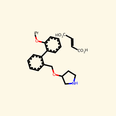 CC(C)Oc1ccccc1-c1ccccc1COC1CCNC1.O=C(O)C=CC(=O)O